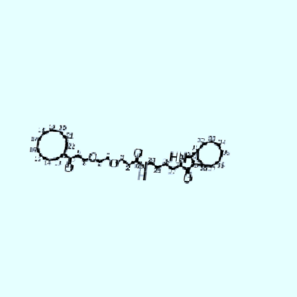 O=C(CCOCCOCCC(=O)C1CCCCCCCCCC1)NCCCCC1NC2C3CCCCCCC(C3)C2C1=O